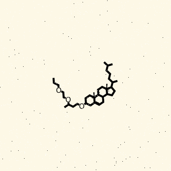 CCCOCCOC(C)CCOC1CC[C@@]2(C)C(=CCC3C4CCC(C(C)CCCC(C)C)[C@@]4(C)CCC32)C1